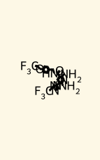 Nc1nc(N)c(-n2cnc(C(F)(F)F)n2)cc1C(=O)NCc1ccc(OCC(F)(F)F)cc1